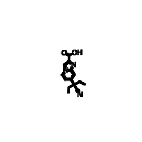 CCC(C#N)(CC)c1ccn2cc(C(=O)O)nc2c1